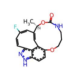 C[C@@H]1OC(=O)NCCCOc2ccc3[nH]nc4c3c2C=C1C=C(F)C=C4